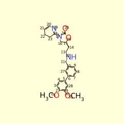 COc1ccc(-c2cccc(CNCC[C@H]3CN(C4=NC=CCC4)C(=O)O3)c2)cc1OC